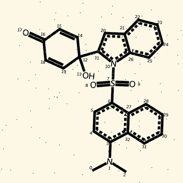 CN(C)c1ccc(S(=O)(=O)n2c(C3(O)C=CC(=O)C=C3)cc3ccccc32)c2ccccc12